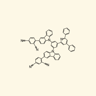 N#Cc1ccc(-c2ccc3c(c2)c2ccccc2n3-c2cc(-c3cc(-c4ccccc4)cc(-c4ccccc4)n3)cc(-n3c4ccccc4c4cc(-c5ccc(C#N)cc5C#N)ccc43)c2)c(C#N)c1